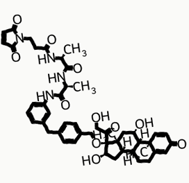 C[C@H](NC(=O)CCN1C(=O)C=CC1=O)C(=O)N[C@@H](C)C(=O)Nc1cccc(Cc2ccc(CO[C@]3(C(=O)CO)[C@H](O)C[C@H]4[C@@H]5CCC6=CC(=O)C=C[C@]6(C)[C@H]5[C@@H](O)C[C@@]43C)cc2)c1